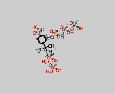 CC(C)(C)c1ccc(S(=O)(=O)O)cc1.O=P(O)(O)F.O=P(O)(O)F.O=P(O)(O)F.O=P(O)(O)F.O=P([O-])(O)F.[Li+]